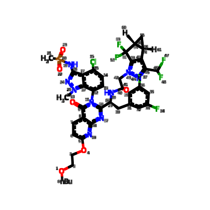 CCCCOCCOc1ccc2c(=O)n(-c3ccc(Cl)c4c(NS(C)(=O)=O)nn(C)c34)c([C@H](Cc3cc(F)cc(F)c3)NC(=O)Cn3nc(C(F)F)c4c3C(F)(F)[C@@H]3C[C@H]43)nc2n1